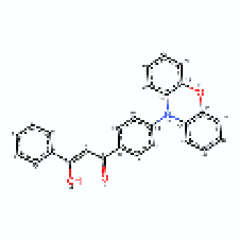 O=C(C=C(O)c1ccccc1)c1ccc(N2c3ccccc3Oc3ccccc32)cc1